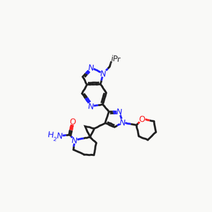 CC(C)Cn1ncc2cnc(-c3nn(C4CCCCO4)cc3C3CC34CCCCN4C(N)=O)cc21